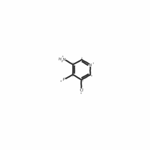 Nc1cncc(Cl)c1F